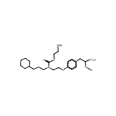 CCOC(Cc1ccc(OCCN(CCCC2CCCCC2)C(=O)OCCOC)cc1)C(=O)O